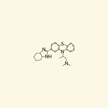 CC(CN(C)C)N1c2ccccc2Sc2ccc(C3=NC4CCCCC4N3)cc21